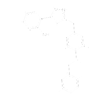 Nc1ncccc1-c1cnn(Cc2ccc(OCc3ccccc3)nc2)c1